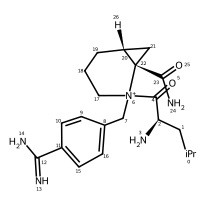 CC(C)C[C@@H](N)C(=O)[N+]1(Cc2ccc(C(=N)N)cc2)CCC[C@@H]2C[C@@]21C(N)=O